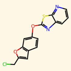 ClCc1cc2ccc(Oc3nc4cccnc4s3)cc2o1